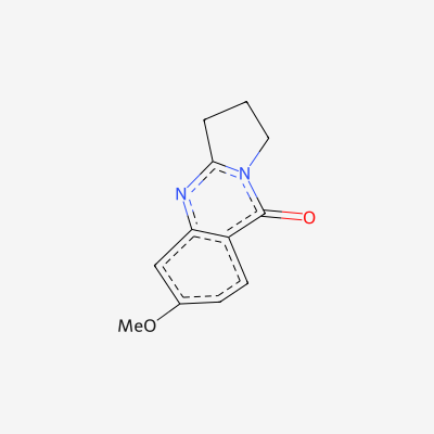 COc1ccc2c(=O)n3c(nc2c1)CCC3